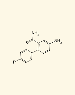 NC(=S)c1cc(N)ccc1-c1ccc(F)cc1